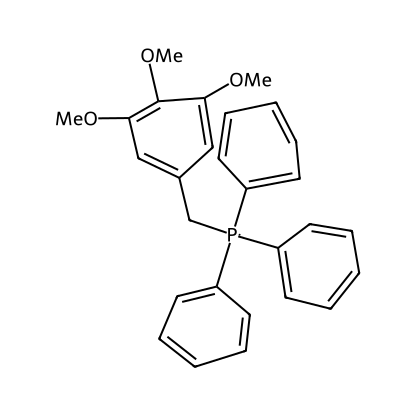 COc1cc(C[P](c2ccccc2)(c2ccccc2)c2ccccc2)cc(OC)c1OC